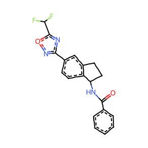 O=C(NC1CCc2cc(-c3noc(C(F)F)n3)ccc21)c1ccccc1